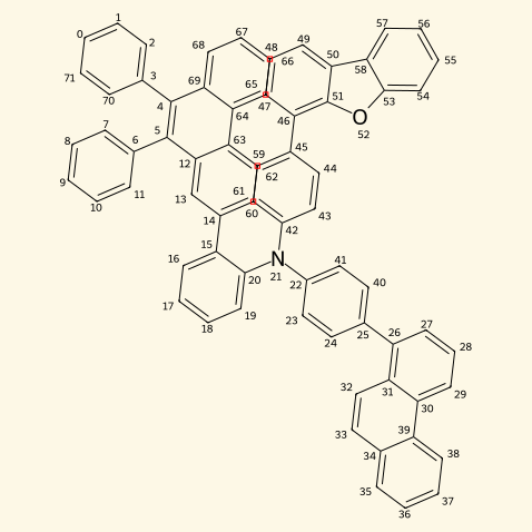 c1ccc(-c2c(-c3ccccc3)c3cc(-c4ccccc4N(c4ccc(-c5cccc6c5ccc5ccccc56)cc4)c4ccc(-c5cccc6c5oc5ccccc56)cc4)ccc3c3ccccc23)cc1